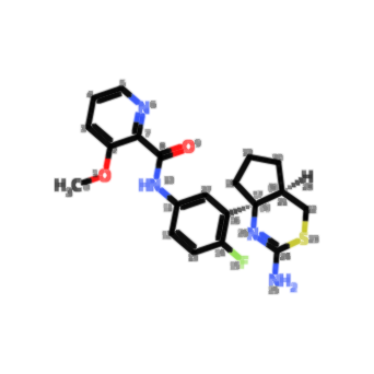 COc1cccnc1C(=O)Nc1ccc(F)c([C@]23CCC[C@H]2CSC(N)=N3)c1